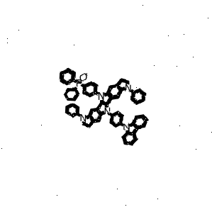 O=P(C1=CCCC=C1)(c1ccccc1)c1ccc(-n2c3cc4ccn(-c5ccccc5)c4cc3c3c2c2cc4c(ccn4-c4ccccc4)cc2n3-c2ccc(-n3c4ccccc4c4ccccc43)cc2)cc1